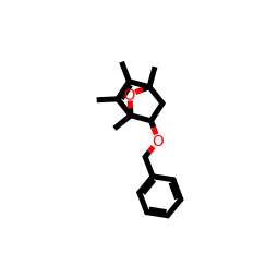 CC1=C(C)C2(C)OC1(C)CC2OCc1ccccc1